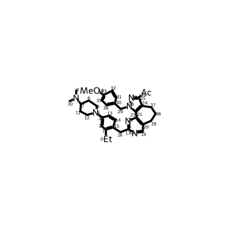 CCc1cc(N2CCC(N(C)C)CC2)ccc1Cc1ncc2c(n1)-c1c(c(C(C)=O)nn1Cc1ccc(OC)cc1)CCC2